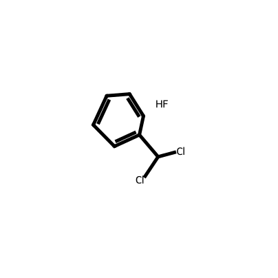 ClC(Cl)c1ccccc1.F